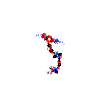 B[P@]1(=O)OC[C@H]2O[C@@H](n3cnc4c(N)ncnc43)[C@H](F)[C@@H]2O[P@@](=O)(SCc2ccc(OC(=O)c3ccc(OCCn4nnc5c4-c4ccccc4CN(C(=O)CCCCC(=O)Oc4ccc(COC(=O)Nc6nc7ccccc7c7c6nc(COCC)n7CC(C)(C)O)cc4)c4ccccc4-5)cc3)cc2)OC[C@H]2O[C@@H](n3cnc4c(N)ncnc43)[C@H](F)[C@@H]2O1